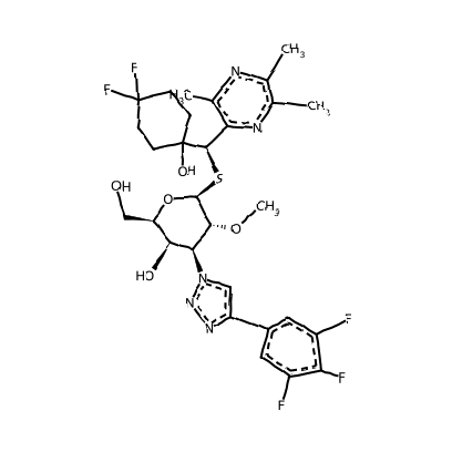 CO[C@@H]1[C@@H](n2cc(-c3cc(F)c(F)c(F)c3)nn2)[C@@H](O)[C@@H](CO)O[C@H]1S[C@H](c1nc(C)c(C)nc1C)C1(O)CCC(F)(F)CC1